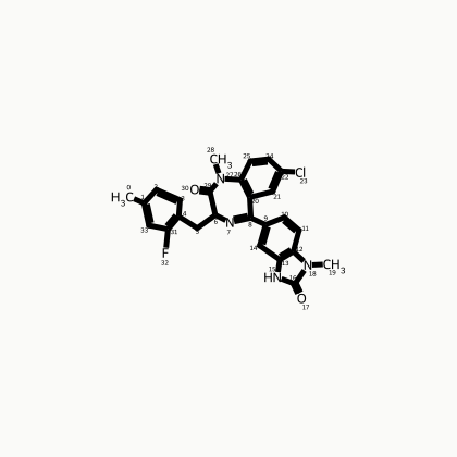 Cc1ccc(CC2N=C(c3ccc4c(c3)[nH]c(=O)n4C)c3cc(Cl)ccc3N(C)C2=O)c(F)c1